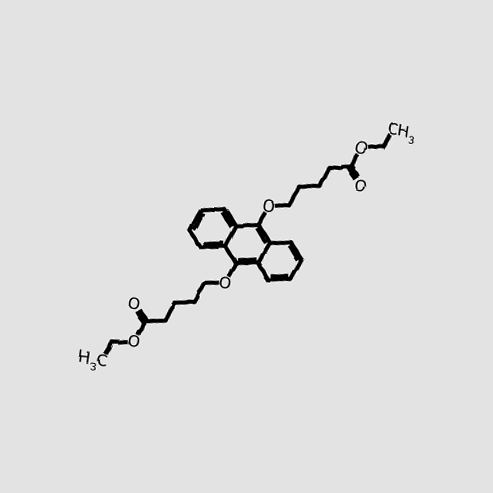 CCOC(=O)CCCCOc1c2ccccc2c(OCCCCC(=O)OCC)c2ccccc12